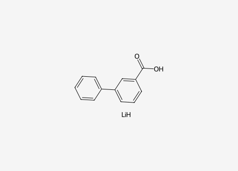 O=C(O)c1cccc(-c2ccccc2)c1.[LiH]